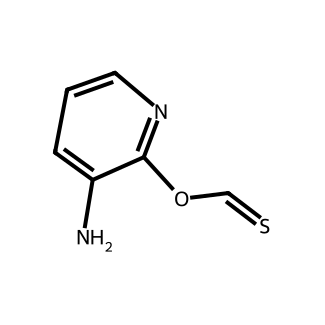 Nc1cccnc1OC=S